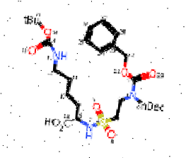 CCCCCCCCCCN(CCS(=O)(=O)N[C@@H](CCCCNC(=O)OC(C)(C)C)C(=O)O)C(=O)OCc1ccccc1